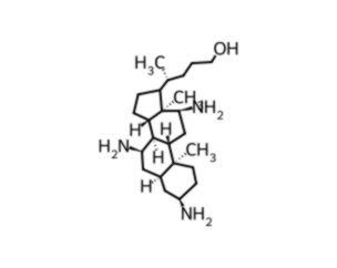 C[C@H](CCCO)C1CC[C@H]2[C@@H]3[C@H](N)C[C@@H]4C[C@H](N)CC[C@]4(C)[C@H]3C[C@H](N)[C@]12C